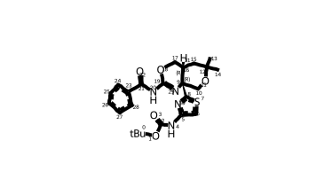 CC(C)(C)OC(=O)Nc1csc([C@]23COC(C)(C)C[C@H]2COC(NC(=O)c2ccccc2)=N3)n1